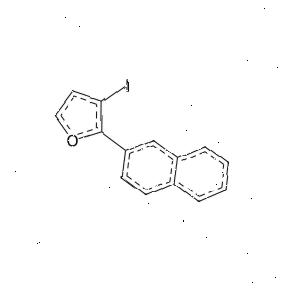 Ic1ccoc1-c1ccc2ccccc2c1